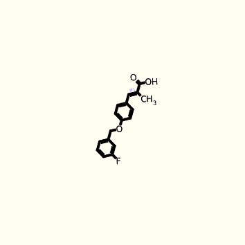 C/C(=C\c1ccc(OCc2cccc(F)c2)cc1)C(=O)O